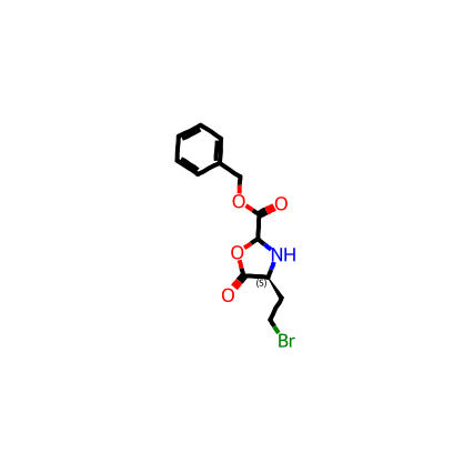 O=C(OCc1ccccc1)C1N[C@@H](CCBr)C(=O)O1